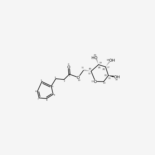 O=C(CCc1ccccc1)OC[C@H]1OC[C@H](O)[C@@H](O)[C@H]1O